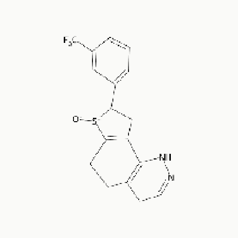 [O-][S+]1C2=C(CC1c1cccc(C(F)(F)F)c1)C1=C(CC=NN1)CC2